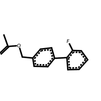 C=C(C)OCc1ccc(-c2ccccc2F)cc1